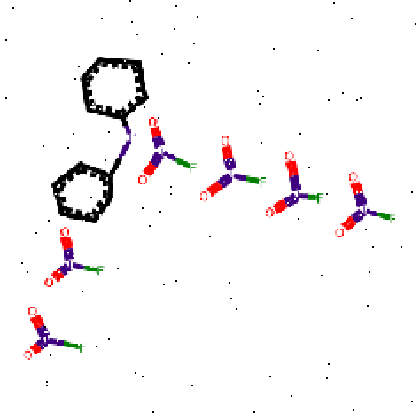 O=I(=O)F.O=I(=O)F.O=I(=O)F.O=I(=O)F.O=I(=O)F.O=I(=O)F.c1ccc([I+]c2ccccc2)cc1